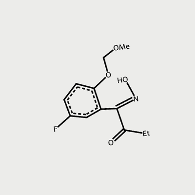 CCC(=O)/C(=N/O)c1cc(F)ccc1OCOC